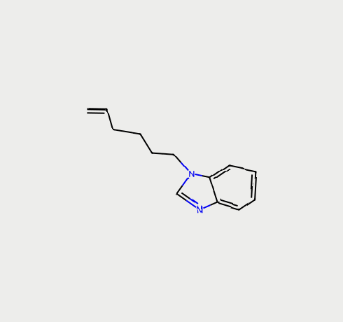 C=CCCCCn1cnc2ccccc21